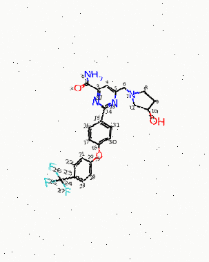 NC(=O)c1cc(CN2CCC(O)C2)nc(-c2ccc(Oc3ccc(C(F)(F)F)cc3)cc2)n1